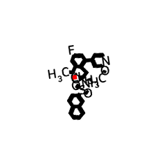 COc1cc(-c2cc(F)cc(C(C)C)c2CC(=O)NS(=O)(=O)c2ccc3ccccc3c2)ccn1